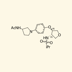 CC(=O)NC1CCN(c2ccc(O[C@H]3COC[C@@H]3NS(=O)(=O)C(C)C)cc2)C1